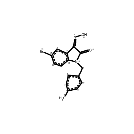 Cc1ccc(CN2C(=O)/C(=N\O)c3cc(Br)ccc32)cc1